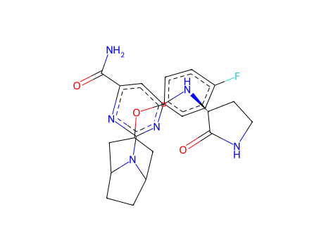 NC(=O)c1cc(N[C@H]2CCNC2=O)nc(N2C3CCC2CC(Oc2ccc(F)cc2)C3)n1